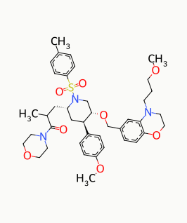 COCCCN1CCOc2ccc(CO[C@H]3CN(S(=O)(=O)c4ccc(C)cc4)[C@@H](CC(C)C(=O)N4CCOCC4)C[C@@H]3c3ccc(OC)cc3)cc21